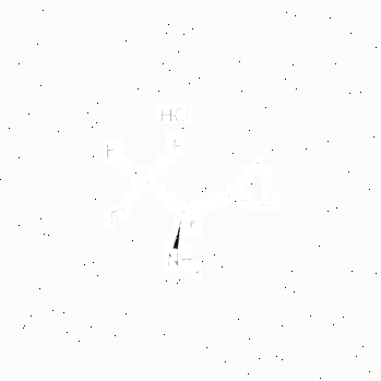 Cl.N[C@H](C1CC1)C(F)(F)F